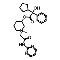 C[N@@+]1(CC(=O)Nc2ncccn2)CCCC(OC(=O)C(O)(c2ccccc2)C2CCCC2)C1